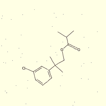 CC(C)C(=O)OCC(C)(C)c1cccc(Cl)c1